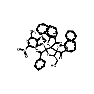 Nc1nc([N+](=O)[O-])nc2c1ncn2[C@]1(C(=O)c2ccccc2)O[C@H](CO)[C@](OC(=O)c2ccccc2)(C(=O)c2ccccc2)[C@]1(OC(=O)c1ccccc1)C(=O)c1ccccc1